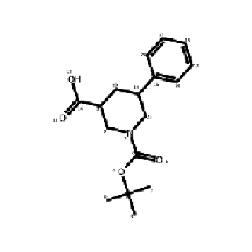 CC(C)(C)OC(=O)N1CC(C(=O)O)CC(c2ccccc2)C1